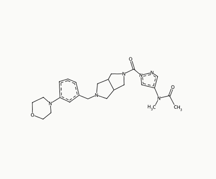 CC(=O)N(C)c1cnn(C(=O)N2CC3CN(Cc4cccc(N5CCOCC5)c4)CC3C2)c1